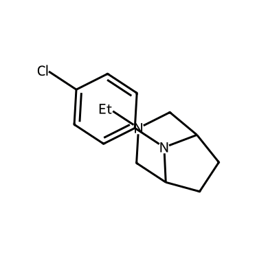 CCN1CC2CCC(C1)N2c1ccc(Cl)cc1